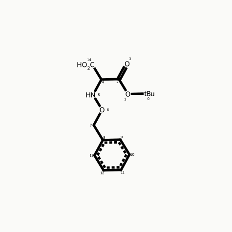 CC(C)(C)OC(=O)C(NOCc1ccccc1)C(=O)O